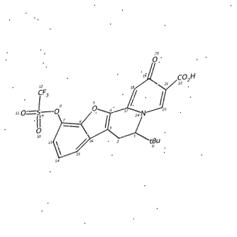 CC(C)(C)C1Cc2c(oc3c(OS(=O)(=O)C(F)(F)F)cccc23)-c2cc(=O)c(C(=O)O)cn21